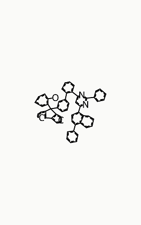 c1ccc(-c2nc(-c3ccccc3-c3cccc4c3Oc3ccccc3C43c4ccccc4-c4ccccc43)cc(-c3ccc(-c4ccccc4)c4ccccc34)n2)cc1